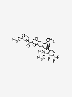 Cc1nnc(NC(C)c2cccc(C(F)F)c2F)c2cc3c(cc12)OCC(C(=O)N1CCOC(C)C1)O3